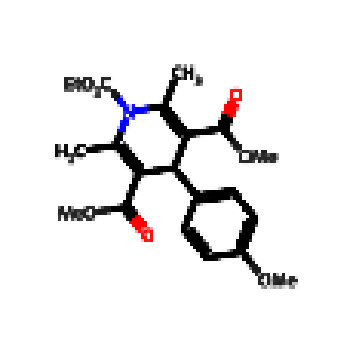 CCOC(=O)N1C(C)=C(C(=O)OC)C(c2ccc(OC)cc2)C(C(=O)OC)=C1C